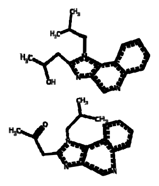 CC(=O)Cc1nc2cnc3ccccc3c2n1CC(C)C.CC(C)Cn1c(CC(C)O)nc2cnc3ccccc3c21